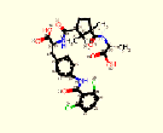 C[C@@H](NC(=O)[C@@]1(C)CC[C@H](C(=O)N[C@@H](Cc2ccc(NC(=O)c3c(Cl)cccc3Cl)cc2)C(=O)O)C1(C)C)C(=O)O